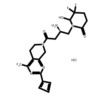 Cl.N[C@H](CC(=O)N1CCc2c(nc(C3=CC=C3)nc2C(F)(F)F)C1)CN1C(=O)CCC(F)(F)C1O